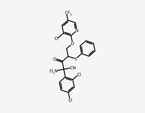 N#CC(C(=O)C(COc1ncc(C(F)(F)F)cc1Cl)Sc1ccccc1)(c1ccc(Cl)cc1Cl)[N+](=O)[O-]